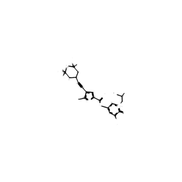 CC1(C)CC(C#Cc2cc(C(=O)Nc3cc(F)c(=O)n(CC(F)F)c3)sc2Cl)CC(C)(C)N1